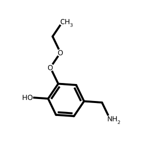 CCOOc1cc(CN)ccc1O